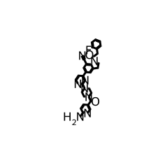 N#Cc1cc(-c2ccnc(N3CCN(C(=O)c4ccc(N)nc4)CC3)n2)cc2c1N(C(=O)Cc1ccccc1F)CC2